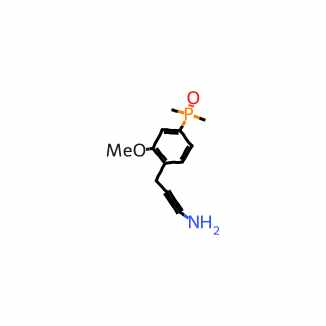 COc1cc(P(C)(C)=O)ccc1CC#CN